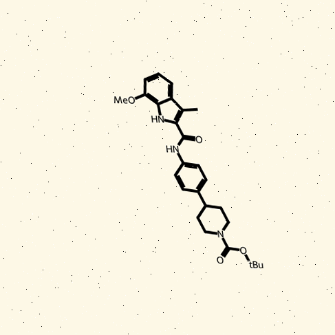 COc1cccc2c(C)c(C(=O)Nc3ccc(C4CCN(C(=O)OC(C)(C)C)CC4)cc3)[nH]c12